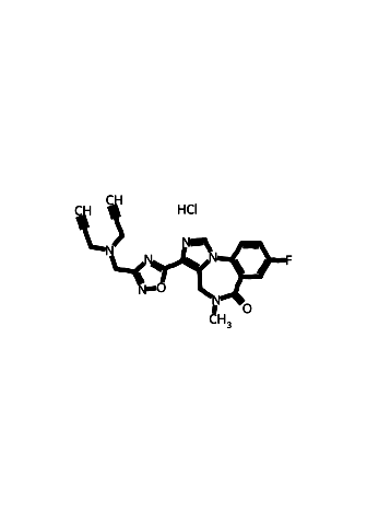 C#CCN(CC#C)Cc1noc(-c2ncn3c2CN(C)C(=O)c2cc(F)ccc2-3)n1.Cl